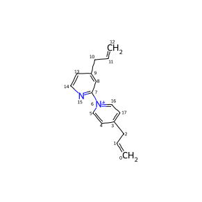 C=CCc1cc[n+](-c2cc(CC=C)ccn2)cc1